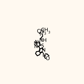 CCN(CC)CCNc1nnnc2c1sc1nc(N3CCOCC3)c3c(c12)CCCC3